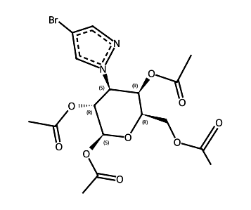 CC(=O)OC[C@H]1O[C@@H](OC(C)=O)[C@H](OC(C)=O)[C@@H](n2cc(Br)cn2)[C@H]1OC(C)=O